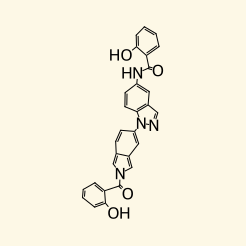 O=C(Nc1ccc2c(cnn2-c2ccc3cn(C(=O)c4ccccc4O)cc3c2)c1)c1ccccc1O